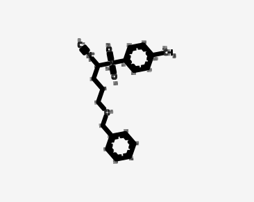 [C-]#[N+]C(CCCOCc1ccccc1)S(=O)(=O)c1ccc(C)cc1